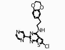 Clc1cc2c(NCCc3ccc4c(c3)OCCO4)nc(-c3cnccn3)nc2s1